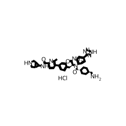 Cc1nc(C(=O)NC2C3CNCC32)ccc1-c1ccc(C[C@@H](C(N)=O)N(c2ccc(-c3nn[nH]n3)cc2)C(=O)[C@H]2CC[C@H](CN)CC2)cc1.Cl